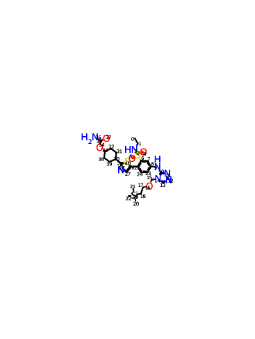 CCNS(=O)(=O)c1cc(Nc2nncn2COCC[Si](C)(C)C)ccc1-c1cnc(C2CCC(OC(N)=O)CC2)s1